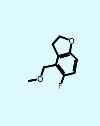 COCc1c(F)ccc2c1CCO2